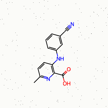 Cc1ccc(Nc2cccc(C#N)c2)c(C(=O)O)n1